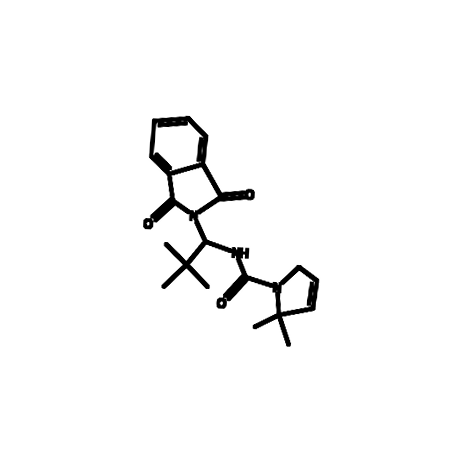 CC(C)(C)C(NC(=O)N1CC=CC1(C)C)N1C(=O)c2ccccc2C1=O